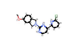 COc1ccc2c(c1)CN(c1nccc(-c3cccc(Cl)n3)n1)C2